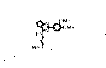 COCCCNc1nc(-c2ccc(OC)c(OC)c2)nc2c1CCC2